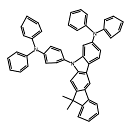 CC1(C)c2ccccc2-c2cc3c4ccc(N(c5ccccc5)c5ccccc5)cc4n(-c4ccc(N(c5ccccc5)c5ccccc5)cc4)c3cc21